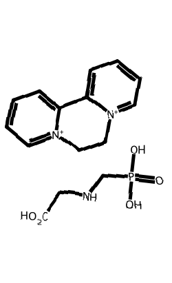 O=C(O)CNCP(=O)(O)O.c1cc[n+]2c(c1)-c1cccc[n+]1CC2